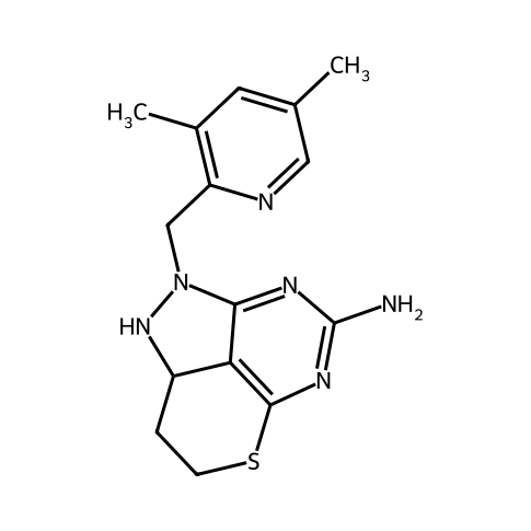 Cc1cnc(CN2NC3CCSc4nc(N)nc2c43)c(C)c1